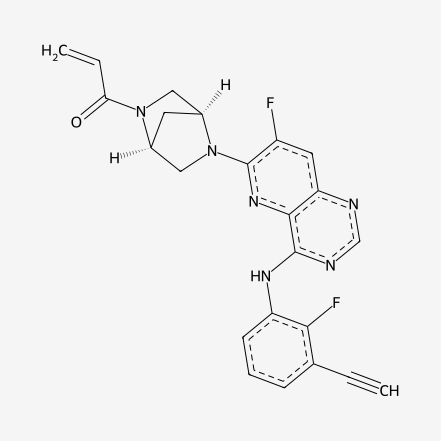 C#Cc1cccc(Nc2ncnc3cc(F)c(N4C[C@@H]5C[C@H]4CN5C(=O)C=C)nc23)c1F